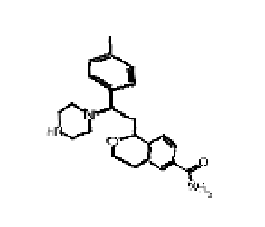 Cc1ccc(C(CC2OCCc3cc(C(N)=O)ccc32)N2CCNCC2)cc1